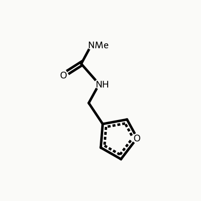 CNC(=O)NCc1ccoc1